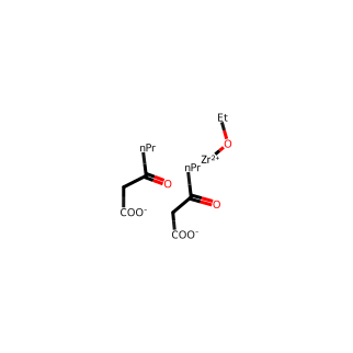 CCCC(=O)CC(=O)[O-].CCCC(=O)CC(=O)[O-].CC[O][Zr+2]